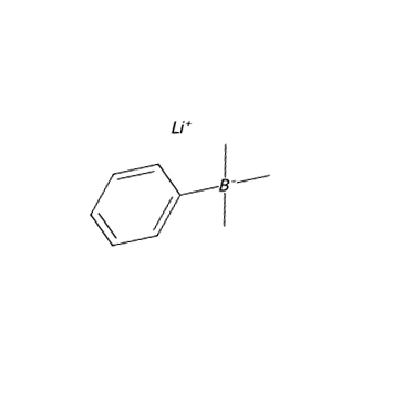 C[B-](C)(C)c1ccccc1.[Li+]